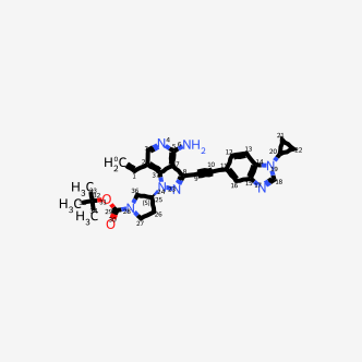 C=Cc1cnc(N)c2c(C#Cc3ccc4c(c3)ncn4C3CC3)nn([C@H]3CCN(C(=O)OC(C)(C)C)C3)c12